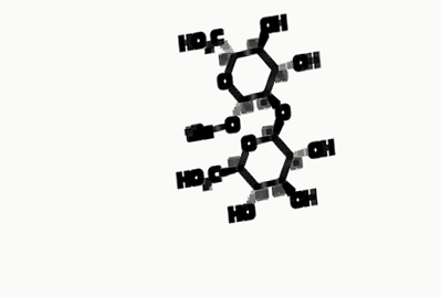 CC(C)(C)O[C@@H]1O[C@H](C(=O)O)[C@@H](O)[C@H](O)[C@H]1O[C@@H]1O[C@H](C(=O)O)[C@@H](O)[C@H](O)[C@H]1O